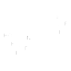 Oc1ccc(-c2ccc(C(F)(F)F)cc2)nc1C(F)(F)F